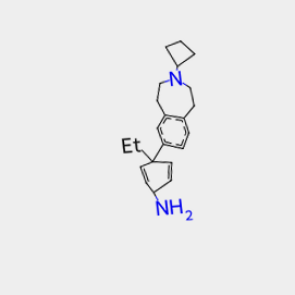 CCC1(c2ccc3c(c2)CCN(C2CCC2)CC3)C=CC(N)C=C1